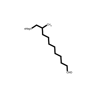 CCCCCCCCC(C)CCCCCCCC[C]=O